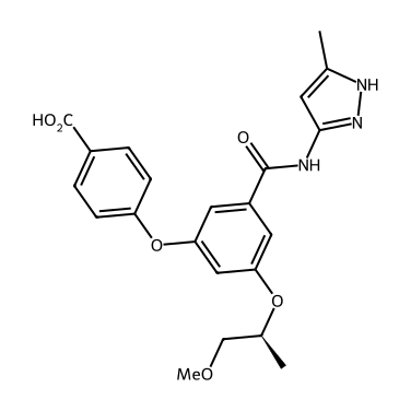 COC[C@H](C)Oc1cc(Oc2ccc(C(=O)O)cc2)cc(C(=O)Nc2cc(C)[nH]n2)c1